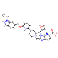 CC(C)OC(=O)c1ccc2nc(CN3CCC(c4cccc(OCc5ccc6cnn(CC(F)(F)F)c6c5)n4)CC3)n(C[C@@H]3CCO3)c2n1